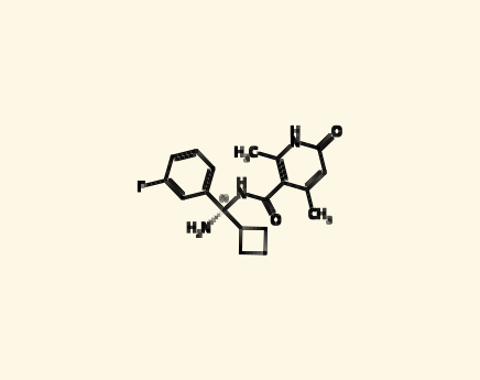 Cc1cc(=O)[nH]c(C)c1C(=O)N[C@](N)(c1cccc(F)c1)C1CCC1